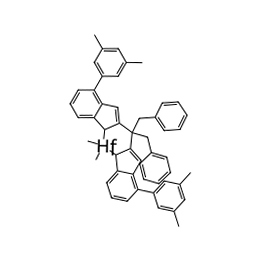 Cc1cc(C)cc(-c2cccc3c2C=C2[CH]3[Hf]([CH3])([CH3])[CH]3C(=Cc4c(-c5cc(C)cc(C)c5)cccc43)C2(Cc2ccccc2)Cc2ccccc2)c1